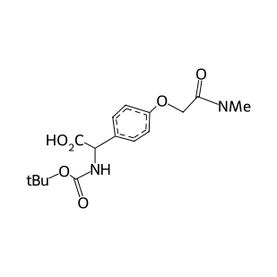 CNC(=O)COc1ccc(C(NC(=O)OC(C)(C)C)C(=O)O)cc1